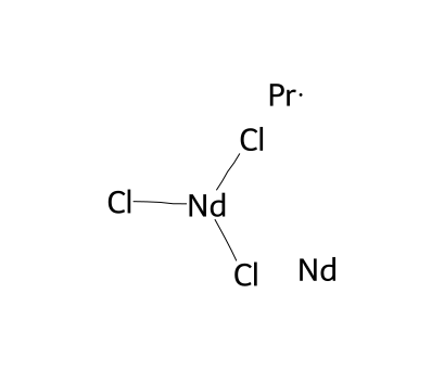 [Cl][Nd]([Cl])[Cl].[Nd].[Pr]